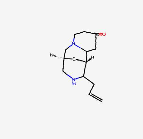 C=CCC1NC[C@@H]2C[C@@H]1C1CC(=O)CCN1C2